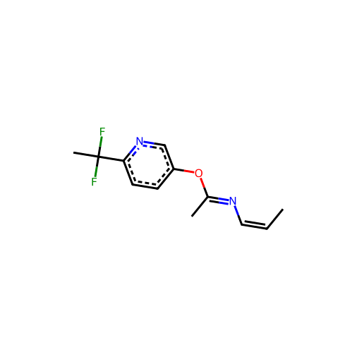 C/C=C\N=C(/C)Oc1ccc(C(C)(F)F)nc1